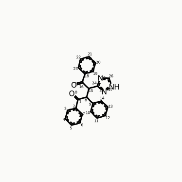 O=C(c1ccccc1)C(c1ccccc1)C(C(=O)c1ccccc1)c1nc[nH]n1